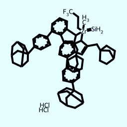 Cl.Cl.[CH3][Zr](=[SiH2])([CH2]CC(F)(F)F)([CH]1C(CC23CCC(CC2)C3)=Cc2c(-c3ccc(C45CC6CC(CC(C6)C4)C5)cc3)cccc21)[CH]1C(CC23CCC(CC2)C3)=Cc2c(-c3ccc(C45CC6CC(CC(C6)C4)C5)cc3)cccc21